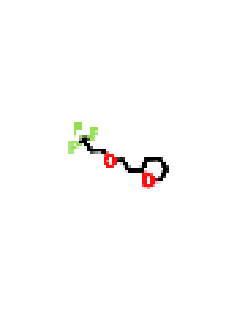 FC(F)(F)CCOCCC1CCCCO1